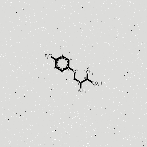 CC(COc1ccc(C(F)(F)F)cc1)C(C)C(=O)O